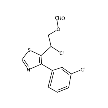 O=COCC(Cl)c1scnc1-c1cccc(Cl)c1